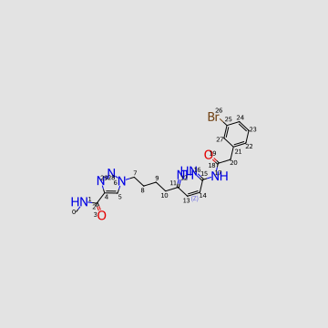 CNC(=O)c1cn(CCCCC(=N)/C=C\C(=N)NC(=O)Cc2cccc(Br)c2)nn1